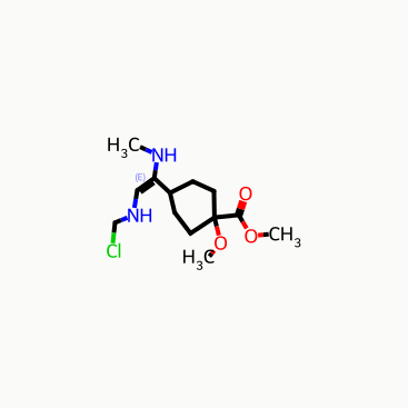 CN/C(=C/NCCl)C1CCC(OC)(C(=O)OC)CC1